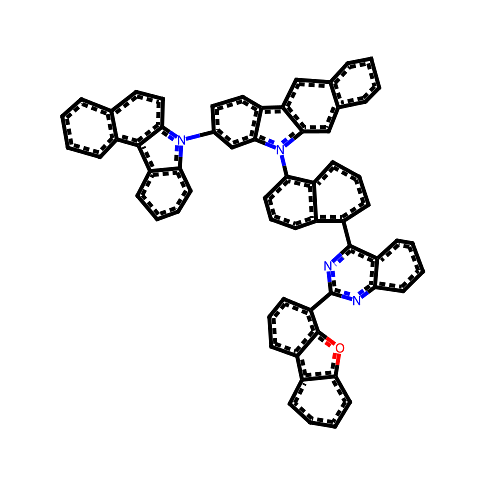 c1ccc2cc3c(cc2c1)c1ccc(-n2c4ccccc4c4c5ccccc5ccc42)cc1n3-c1cccc2c(-c3nc(-c4cccc5c4oc4ccccc45)nc4ccccc34)cccc12